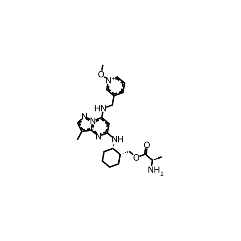 CO[n+]1cccc(CNc2cc(N[C@H]3CCCC[C@H]3COC(=O)[C@@H](C)N)nc3c(C)cnn23)c1